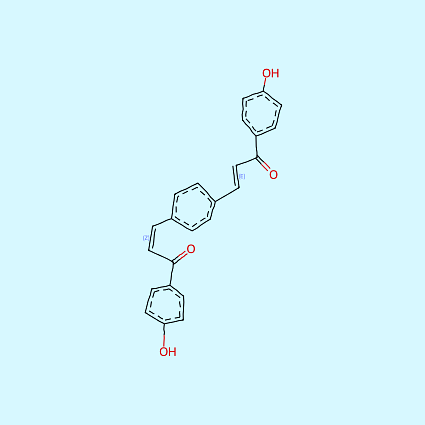 O=C(/C=C\c1ccc(/C=C/C(=O)c2ccc(O)cc2)cc1)c1ccc(O)cc1